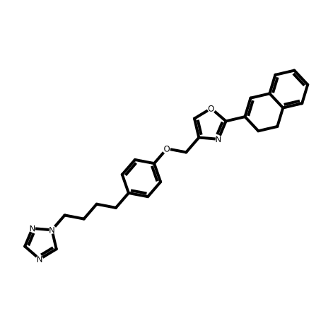 C1=C(c2nc(COc3ccc(CCCCn4cncn4)cc3)co2)CCc2ccccc21